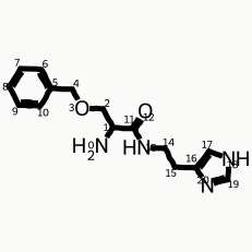 NC(COCc1ccccc1)C(=O)NCCc1c[nH]cn1